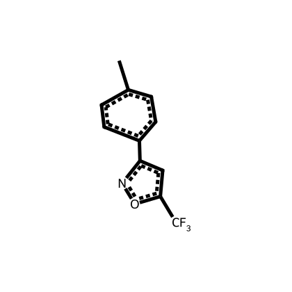 Cc1ccc(-c2cc(C(F)(F)F)on2)cc1